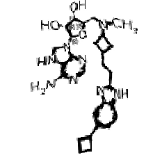 CN(C[C@H]1O[C@@H](N2CNc3c(N)ncnc32)[C@H](O)[C@@H]1O)C1CC(CCc2nc3cc(C4CCC4)ccc3[nH]2)C1